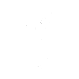 CCc1ccc(-n2nc(C)cc2COc2c(F)cc(CCCC(=O)O)cc2F)cc1